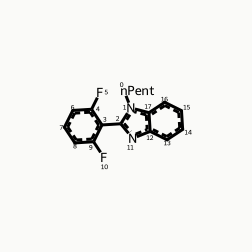 CCCCCn1c(-c2c(F)cccc2F)nc2ccccc21